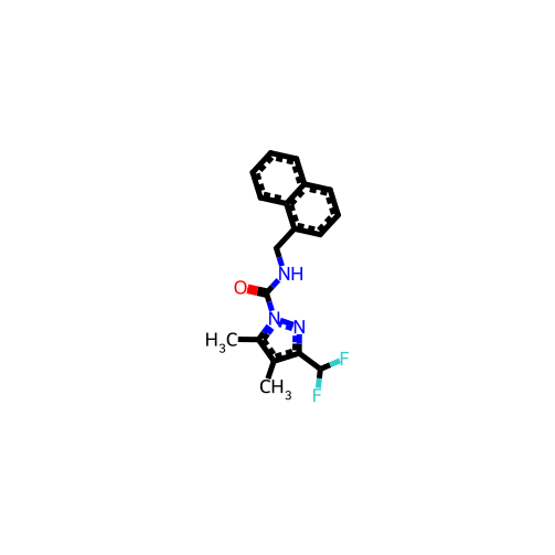 Cc1c(C(F)F)nn(C(=O)NCc2cccc3ccccc23)c1C